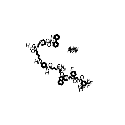 CN(CCN1CCC(OC(=O)Nc2ccccc2-c2ccccc2)CC1)C(=O)CCCCCNc1ccc(NC(=O)CCCN(C)C(=O)CO[C@H]2Cc3ccccc3C23CCN(CC[C@@]2(c4ccc(F)cc4)CN(C(=O)c4cc(C(F)(F)F)cc(C(F)(F)F)c4)CO2)CC3)cc1.Cl.Cl.Cl